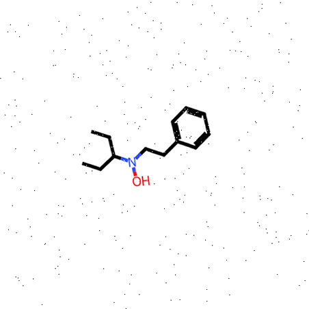 CCC(CC)N(O)CCc1ccccc1